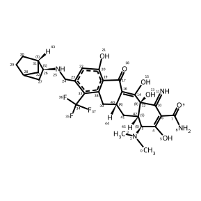 CN(C)[C@@H]1C(O)=C(C(N)=O)C(=N)[C@@]2(O)C(O)=C3C(=O)c4c(O)cc(CN[C@H]5CC6CC[C@H]5C6)c(C(F)(F)F)c4C[C@H]3C[C@@H]12